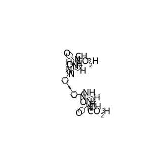 CN(C(=O)O)[C@H](C(=O)N1[C@@H]2C[C@@H]2C[C@H]1c1nc(-c2cccc(C#Cc3cccc(-c4c[nH]c([C@@H]5C[C@H]6C[C@H]6N5C(=O)[C@H](C5CCOCC5)N(C)C(=O)O)n4)c3)c2)c[nH]1)C1CCOCC1